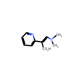 CN(C)C=C(C(=O)O)c1ccccn1